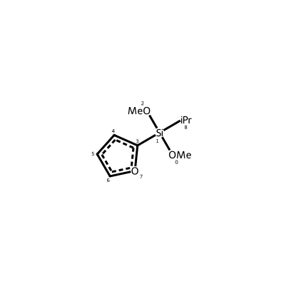 CO[Si](OC)(c1ccco1)C(C)C